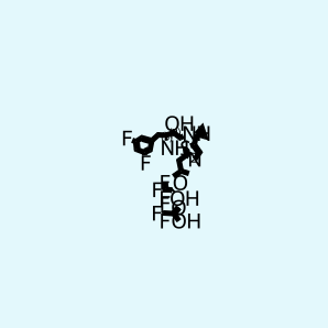 CC(C)Cc1ncc(C2(NC[C@@H](O)[C@@H](N)Cc3cc(F)cc(F)c3)CC2)s1.O=C(O)C(F)(F)F.O=C(O)C(F)(F)F